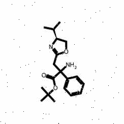 CC(C)[C@H]1COC(CC(N)(C(=O)OC(C)(C)C)c2ccccc2)=N1